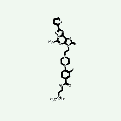 C[S@+]([O-])CCNC(=O)c1ccc(N2CCN(CCn3c(=O)sc4c3nc(N)n3nc(-c5ccco5)nc43)CC2)c(F)c1